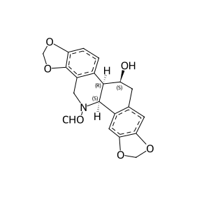 O=CN1Cc2c(ccc3c2OCO3)[C@@H]2[C@H]1c1cc3c(cc1C[C@@H]2O)OCO3